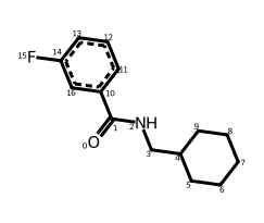 O=C(NCC1CCCCC1)c1[c]ccc(F)c1